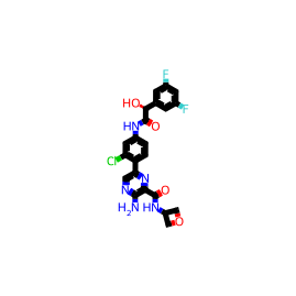 Nc1ncc(-c2ccc(NC(=O)[C@@H](O)c3cc(F)cc(F)c3)cc2Cl)nc1C(=O)NC1COC1